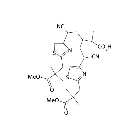 COC(=O)C(C)(C)Cc1nc(C(C#N)CC(CC(C#N)c2csc(CC(C)(C)C(=O)OC)n2)C(C)C(=O)O)cs1